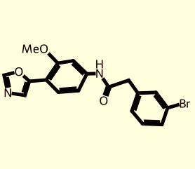 COc1cc(NC(=O)Cc2cccc(Br)c2)ccc1-c1cnco1